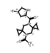 O=C([C@H]1C[C@@H](F)CN1)N1CC2(CC2)N(C(=O)C(F)(F)F)CC12CC2